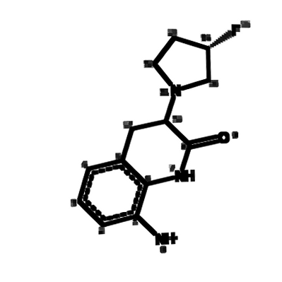 [NH]c1cccc2c1NC(=O)C(N1CC[C@H](F)C1)C2